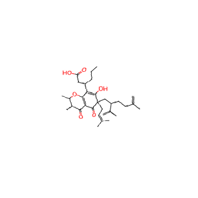 C=C(C)CCC(CC1(CC=C(C)C)C(=O)C2=C(OC(C)C(C)C2=O)C(C(CCC)CC(=O)O)=C1O)C(=C)C